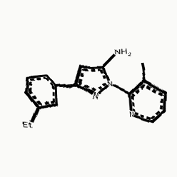 CCc1cccc(-c2cc(N)n(-c3ncccc3C)n2)c1